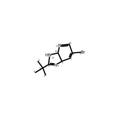 CC(C)(C)C1=NC2C=C(Br)C=NC2N1